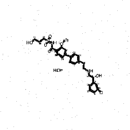 CC(C)Oc1cc(-c2ccc(CCNC[C@H](O)c3cccc(Cl)c3)cc2)ccc1C(=O)NS(=O)(=O)CCCO.Cl